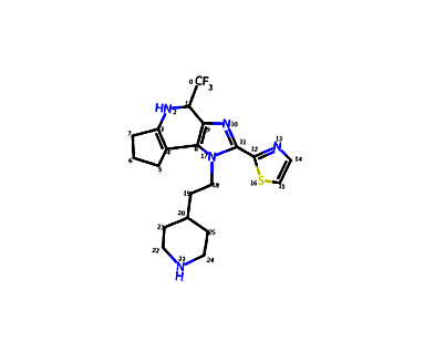 FC(F)(F)C1NC2=C(CCC2)c2c1nc(-c1nccs1)n2CCC1CCNCC1